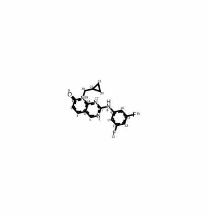 O=c1ccc2cnc(Nc3cc(F)cc(F)c3)nc2n1CC1CC1